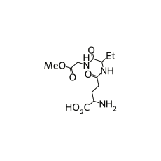 CCC(NC(=O)CCC(N)C(=O)O)C(=O)NCC(=O)OC